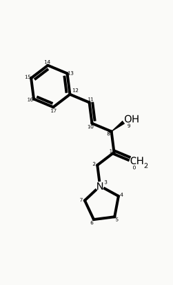 C=C(CN1CCCC1)[C@H](O)/C=C/c1ccccc1